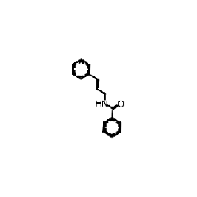 O=C(NCC=Cc1ccccc1)c1ccccc1